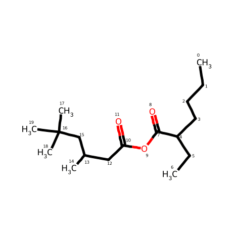 CCCCC(CC)C(=O)OC(=O)CC(C)CC(C)(C)C